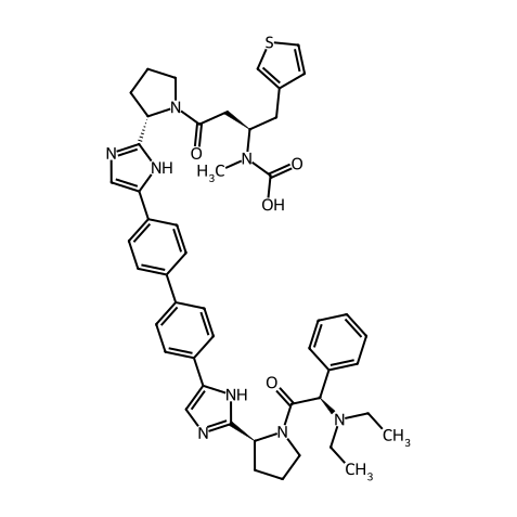 CCN(CC)[C@@H](C(=O)N1CCC[C@H]1c1ncc(-c2ccc(-c3ccc(-c4cnc([C@@H]5CCCN5C(=O)C[C@@H](Cc5ccsc5)N(C)C(=O)O)[nH]4)cc3)cc2)[nH]1)c1ccccc1